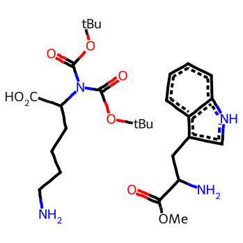 CC(C)(C)OC(=O)N(C(=O)OC(C)(C)C)C(CCCCN)C(=O)O.COC(=O)C(N)Cc1c[nH]c2ccccc12